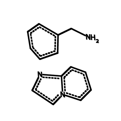 NCc1ccccc1.c1ccn2ccnc2c1